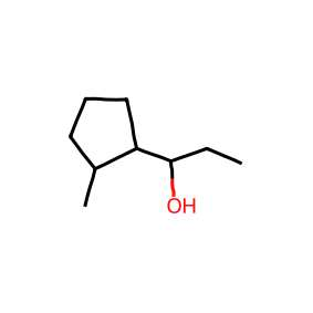 CCC(O)C1CCCC1C